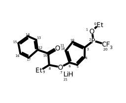 CCOP(c1ccc(OC(CC)C(=O)c2ccccc2)cc1)C(F)(F)F.[LiH]